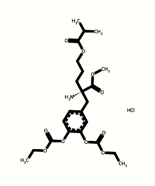 CCOC(=O)Oc1ccc(C[C@@](N)(CCCOC(=O)C(C)C)C(=O)OC)cc1OC(=O)OCC.Cl